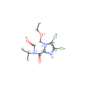 CCOCn1c(C(=O)N(C=O)C(C)C)nc(Cl)c1Cl